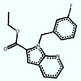 CCOC(=O)c1cc2cccnc2n1Cc1cccc(F)c1